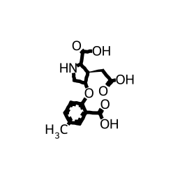 Cc1ccc(OC2CNC(C(=O)O)[C@H]2CC(=O)O)c(C(=O)O)c1